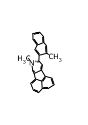 Cc1cc2ccccc2cc1-c1cc2c(c[n+]1C)-c1cccc3cccc-2c13